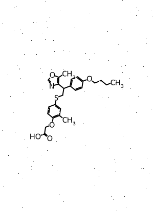 CCCCOc1ccc(C(CSc2ccc(OCC(=O)O)c(C)c2)c2ncoc2C)cc1